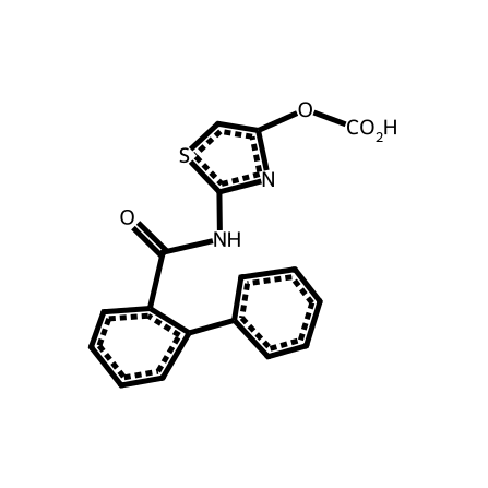 O=C(O)Oc1csc(NC(=O)c2ccccc2-c2ccccc2)n1